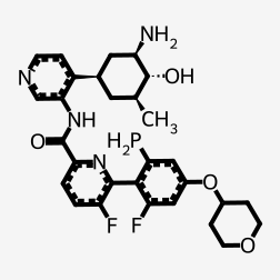 C[C@H]1C[C@@H](c2ccncc2NC(=O)c2ccc(F)c(-c3c(F)cc(OC4CCOCC4)cc3P)n2)C[C@@H](N)[C@@H]1O